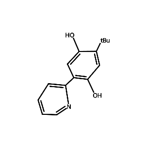 CC(C)(C)c1cc(O)c(-c2ccccn2)cc1O